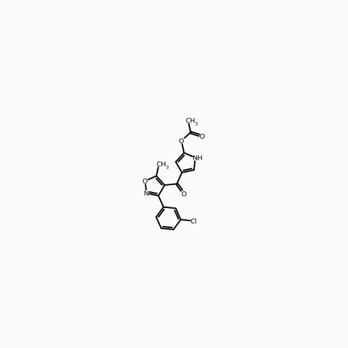 CC(=O)Oc1cc(C(=O)c2c(-c3cccc(Cl)c3)noc2C)c[nH]1